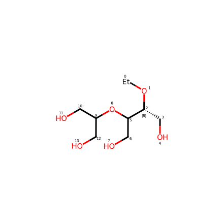 CCO[C@H](CO)C(CO)OC(CO)CO